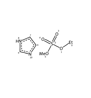 CCOS(=O)(=O)OC.c1c[nH]cn1